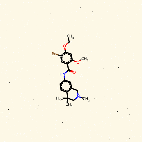 CCOc1cc(OC)c(C(=O)Nc2ccc3c(c2)CN(C)CC3(C)C)cc1Br